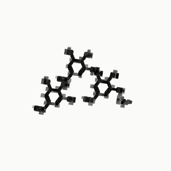 O=C([O-])c1cc(O)c(O)c(O)c1.O=C([O-])c1cc(O)c(O)c(O)c1.O=C([O-])c1cc(O)c(O)c(O)c1.[Li+].[Zn+2]